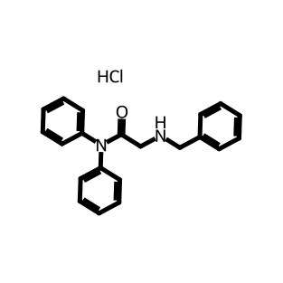 Cl.O=C(CNCc1ccccc1)N(c1ccccc1)c1ccccc1